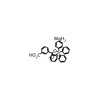 O=C(O)c1cccc(C(=O)O[SH](c2ccccc2)(c2ccccc2)(c2ccccc2)c2ccccc2)c1.[MgH2]